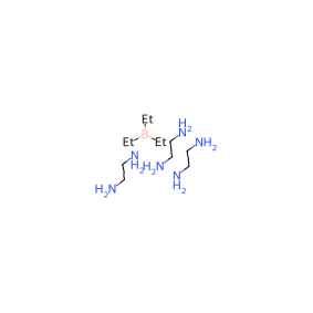 CCB(CC)CC.NCCN.NCCN.NCCN